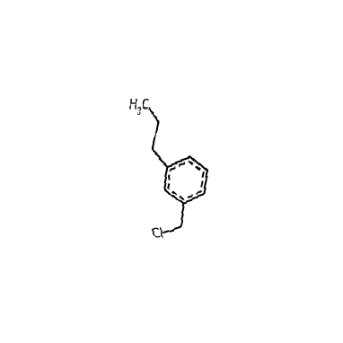 CCCc1cccc(CCl)c1